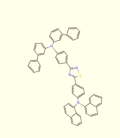 c1ccc(-c2cccc(N(c3ccc(-c4nsc(-c5ccc(N(c6cccc7ccccc67)c6cccc7ccccc67)cc5)n4)cc3)c3cccc(-c4ccccc4)c3)c2)cc1